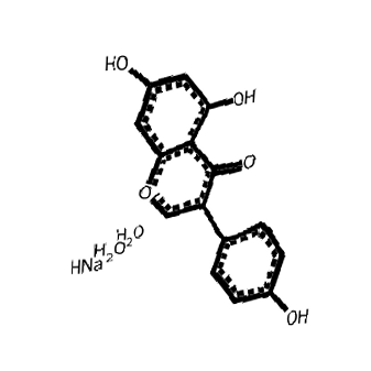 O.O.O=c1c(-c2ccc(O)cc2)coc2cc(O)cc(O)c12.[NaH]